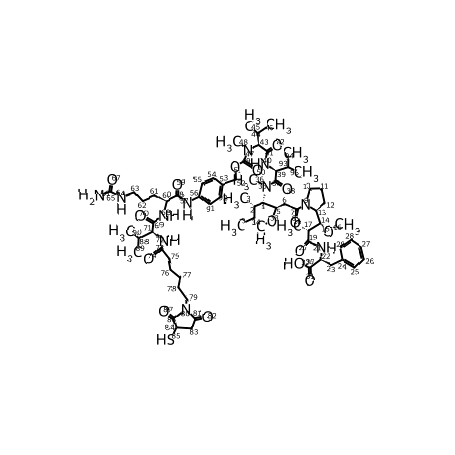 CC[C@H](C)[C@@H]([C@@H](CC(=O)N1CCC[C@H]1[C@H](OC)[C@@H](C)C(=O)N[C@@H](Cc1ccccc1)C(=O)O)OC)N(C)C(=O)[C@@H](NC(=O)[C@H](C(C)C)N(C)C(=O)OCc1ccc(NC(=O)[C@H](CCCNC(N)=O)NC(=O)[C@@H](NC(=O)CCCCCN2C(=O)CC(S)C2=O)C(C)C)cc1)C(C)C